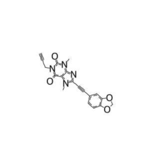 C#CCn1c(=O)c2c(nc(C#Cc3ccc4c(c3)OCO4)n2C)n(C)c1=O